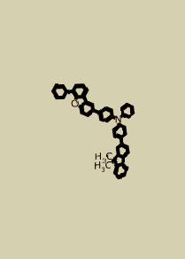 CC1(C)c2ccccc2-c2ccc(-c3ccc(N(c4ccccc4)c4ccc(-c5ccc6oc7c(C8C=CC=CC8)cccc7c6c5)cc4)cc3)cc21